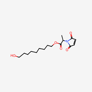 CC(C(=O)OCCCCCCCCCO)N1C(=O)C=CC1=O